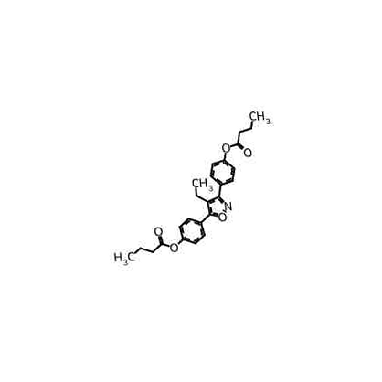 CCCC(=O)Oc1ccc(-c2noc(-c3ccc(OC(=O)CCC)cc3)c2CC)cc1